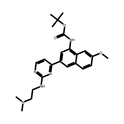 COc1ccc2cc(-c3ccnc(NCCN(C)C)n3)cc(NC(=O)OC(C)(C)C)c2c1